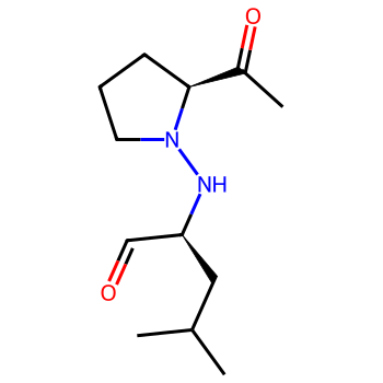 CC(=O)[C@@H]1CCCN1N[C@H](C=O)CC(C)C